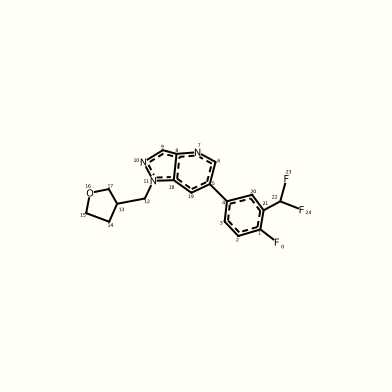 Fc1ccc(-c2cnc3cnn(CC4CCOC4)c3c2)cc1C(F)F